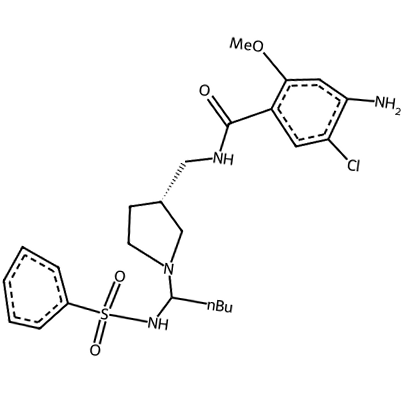 CCCCC(NS(=O)(=O)c1ccccc1)N1CC[C@H](CNC(=O)c2cc(Cl)c(N)cc2OC)C1